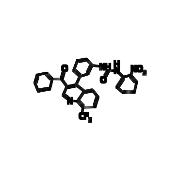 O=C(Nc1cccc(-c2c(C(=O)c3ccccc3)cnc3c(C(F)(F)F)cccc23)c1)Nc1ccccc1[N+](=O)[O-]